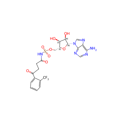 Nc1ncnc2c1ncn2[C@@H]1O[C@H](COS(=O)(=O)NC(=O)CCC(=O)c2ccccc2C(F)(F)F)[C@@H](O)[C@H]1O